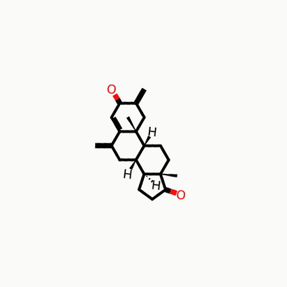 C=C1C[C@@]2(C)C(=CC1=O)C(=C)C[C@@H]1[C@H]2CC[C@]2(C)C(=O)CC[C@@H]12